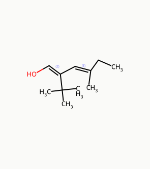 CC/C(C)=C/C(=C/O)C(C)(C)C